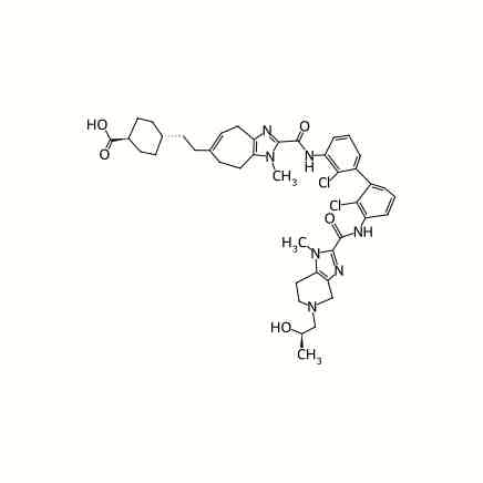 C[C@@H](O)CN1CCc2c(nc(C(=O)Nc3cccc(-c4cccc(NC(=O)c5nc6c(n5C)CCC(CC[C@H]5CC[C@H](C(=O)O)CC5)=CC6)c4Cl)c3Cl)n2C)C1